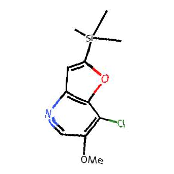 COc1cnc2cc([Si](C)(C)C)oc2c1Cl